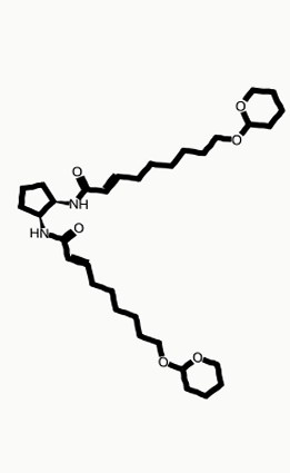 O=C(/C=C/CCCCCCOC1CCCCO1)N[C@H]1CCC[C@H]1NC(=O)/C=C/CCCCCCOC1CCCCO1